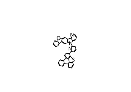 c1cc(-c2ccc3c4ccccc4c4cccc5sc2c3c54)nc(-n2c3cc4c(cc3c3ncccc32)oc2ccccc24)c1